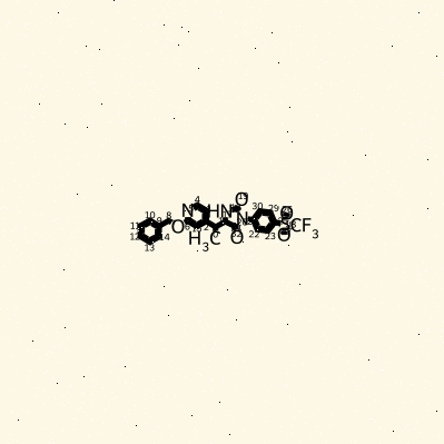 CC(c1ccnc(OCc2ccccc2)c1)C1NC(=O)N(c2ccc(S(=O)(=O)C(F)(F)F)cc2)C1=O